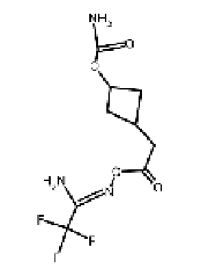 NC(=O)OC1CC(CC(=O)ON=C(N)C(F)(F)F)C1